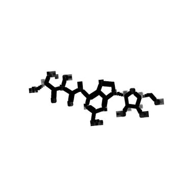 CCC[C@H](N)C(=O)N(O)C(=O)Nc1nc(SC)nc2c1ncn2[C@@H]1O[C@H](CO)[C@@H](O)[C@H]1O